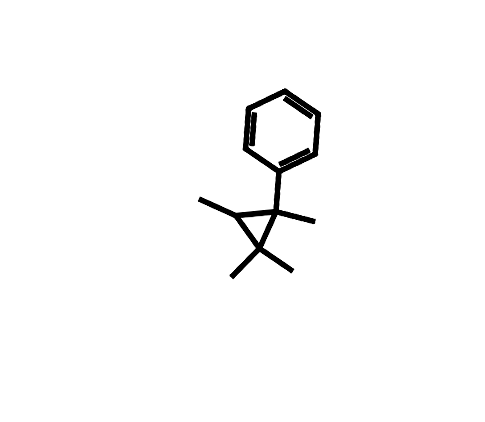 CC1C(C)(C)C1(C)c1ccccc1